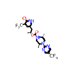 C[C@@H]1CN(c2ncc(C(F)(F)F)cn2)[C@@H](C)CN1C(=O)O[C@@H](C)Cc1c[nH]c(=O)c(C(F)(F)F)c1